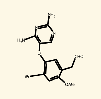 COc1cc(C(C)C)c(Oc2cnc(N)nc2N)cc1CC=O